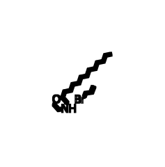 C=CCBr.CCCCCCCCCCCCC1CNCCO1